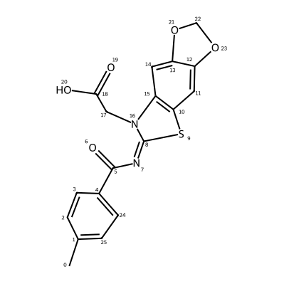 Cc1ccc(C(=O)N=c2sc3cc4c(cc3n2CC(=O)O)OCO4)cc1